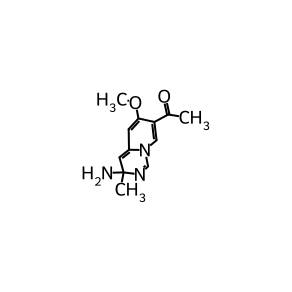 COC1=CC2=CC(C)(N)N=CN2C=C1C(C)=O